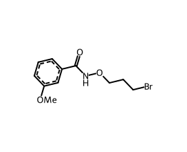 COc1cccc(C(=O)NOCCCBr)c1